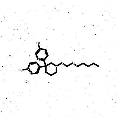 CCCCCCCCC1CCCC(c2ccc(O)cc2)(c2ccc(O)cc2)C1